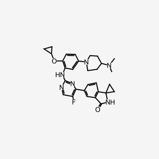 CN(C)C1CCN(c2ccc(OC3CC3)c(Nc3ncc(F)c(-c4ccc5c(c4)C(=O)NC54CC4)n3)c2)CC1